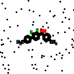 CC1CCC(c2ccc(C(O)C3CCC(C)CC3)c(F)c2F)CC1